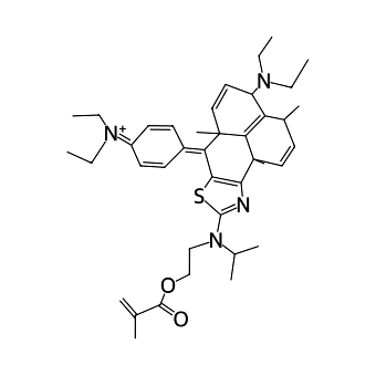 C=C(C)C(=O)OCCN(c1nc2c(s1)C(=C1C=CC(=[N+](CC)CC)C=C1)C1(C)C=CC(N(CC)CC)C3=C1C2(C)C=CC3C)C(C)C